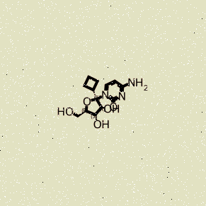 Nc1ccn([C@]2(C3CCC3)O[C@H](CO)[C@@H](O)[C@H]2O)c(=O)n1